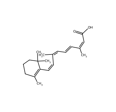 CC1=C(\C=C/C(C)=C\C=C\C(C)=C/C(=O)O)C(C)(C)CCC1